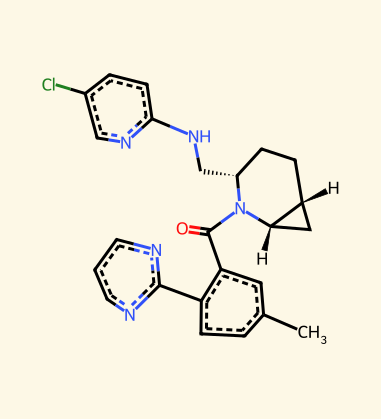 Cc1ccc(-c2ncccn2)c(C(=O)N2[C@H](CNc3ccc(Cl)cn3)CC[C@@H]3C[C@@H]32)c1